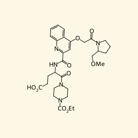 CCOC(=O)N1CCN(C(=O)C(CCC(=O)O)NC(=O)c2cc(OCC(=O)N3CCCC3COC)c3ccccc3n2)CC1